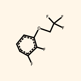 Fc1cccc(OCC(F)(F)F)c1F